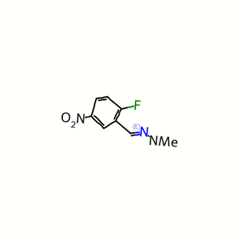 CN/N=C/c1cc([N+](=O)[O-])ccc1F